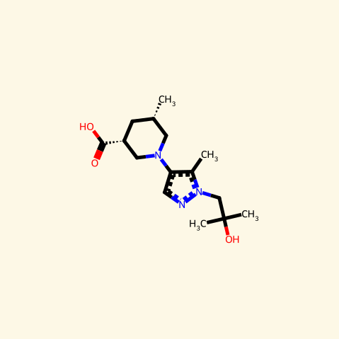 Cc1c(N2C[C@@H](C)C[C@@H](C(=O)O)C2)cnn1CC(C)(C)O